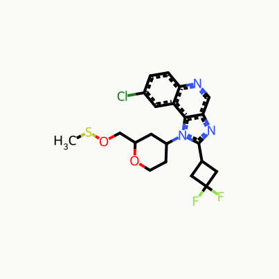 CSOCC1CC(n2c(C3CC(F)(F)C3)nc3cnc4ccc(Cl)cc4c32)CCO1